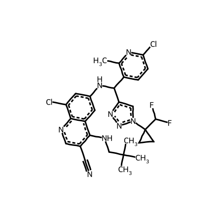 Cc1nc(Cl)ccc1C(Nc1cc(Cl)c2ncc(C#N)c(NCC(C)(C)C)c2c1)c1cn(C2(C(F)F)CC2)nn1